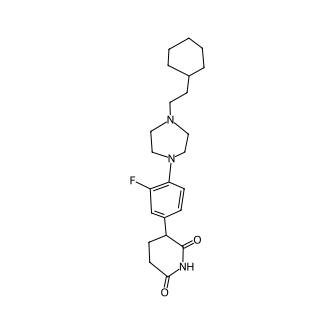 O=C1CCC(c2ccc(N3CCN(CCC4CCCCC4)CC3)c(F)c2)C(=O)N1